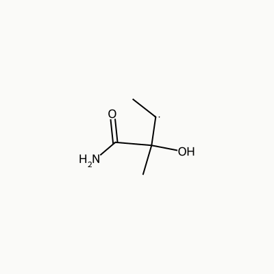 C[CH]C(C)(O)C(N)=O